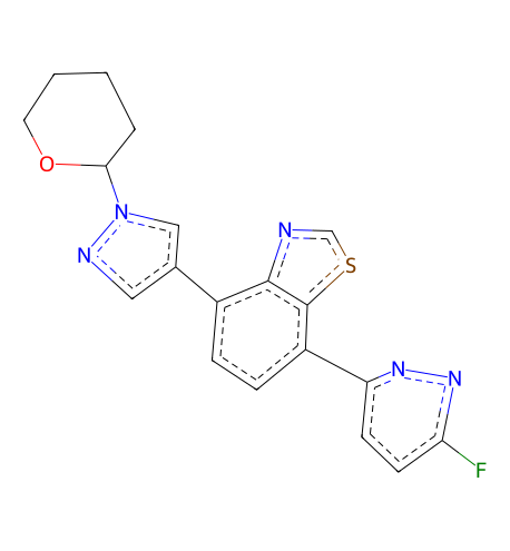 Fc1ccc(-c2ccc(-c3cnn(C4CCCCO4)c3)c3ncsc23)nn1